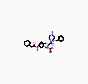 CCC(=O)N[C@H](Cc1ccc(NC(=O)CC2CCCCC2)cc1)C(=O)N1CCNC[C@@H]1Cc1ccccc1